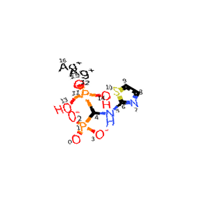 O=P([O-])([O-])C(Nc1nccs1)P(=O)(O)O.[Ag+].[Ag+]